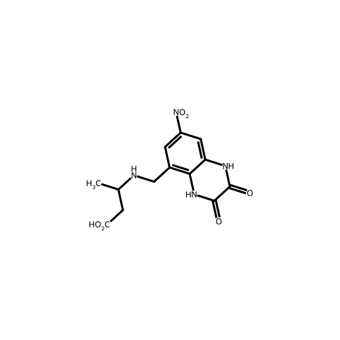 CC(CC(=O)O)NCc1cc([N+](=O)[O-])cc2[nH]c(=O)c(=O)[nH]c12